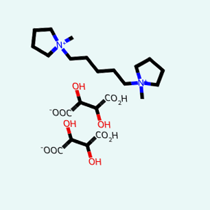 C[N+]1(CCCCC[N+]2(C)CCCC2)CCCC1.O=C([O-])C(O)C(O)C(=O)O.O=C([O-])C(O)C(O)C(=O)O